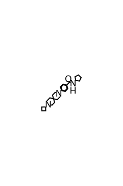 O=C(NC1CCCC1)c1ccc(N2CCC3(CC2)CCN(C2CCC2)CC3)cc1